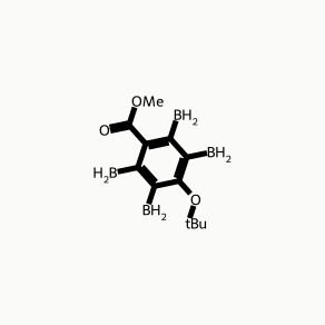 Bc1c(B)c(C(=O)OC)c(B)c(B)c1OC(C)(C)C